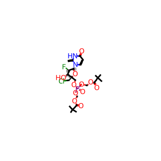 C=C1NC(=O)C=CN1[C@@H]1O[C@](CCl)(COP(=O)(OCOC(=O)C(C)(C)C)OCOC(=O)C(C)(C)C)[C@@H](O)[C@H]1F